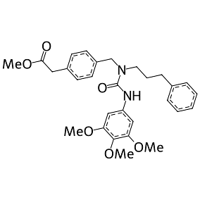 COC(=O)Cc1ccc(CN(CCCc2ccccc2)C(=O)Nc2cc(OC)c(OC)c(OC)c2)cc1